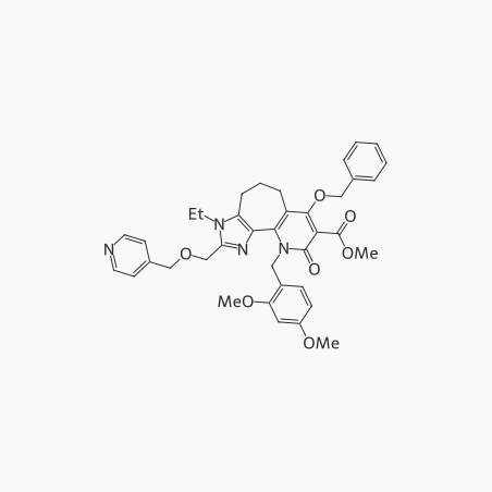 CCn1c(COCc2ccncc2)nc2c1CCCc1c(OCc3ccccc3)c(C(=O)OC)c(=O)n(Cc3ccc(OC)cc3OC)c1-2